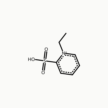 CC[n+]1ccccc1S(=O)(=O)O